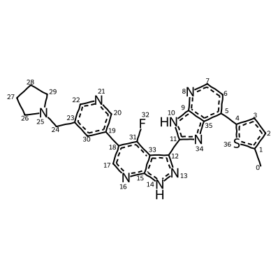 Cc1ccc(-c2ccnc3[nH]c(-c4n[nH]c5ncc(-c6cncc(CN7CCCC7)c6)c(F)c45)nc23)s1